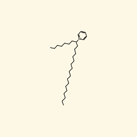 CCCCCCCCCCCCCCCCCC(CCCCCCC)[n+]1ccccc1